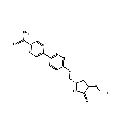 N=C(N)c1ccc(-c2ccc(OC[C@@H]3C[C@@H](CC(=O)O)C(=O)N3)nn2)cc1